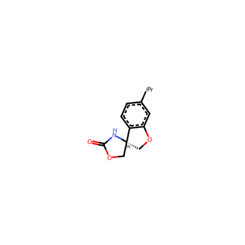 CC(C)c1ccc2c(c1)OC[C@@]21COC(=O)N1